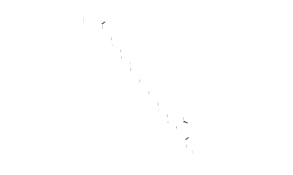 CCC(=O)OC(CCCCCCCCCCCCCCCC(=O)O)C(=O)O